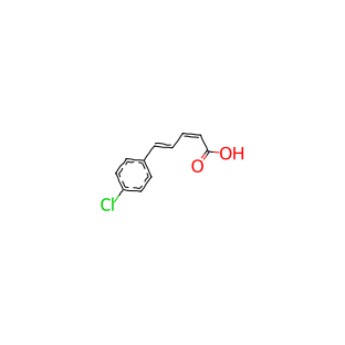 O=C(O)/C=C\C=C\c1ccc(Cl)cc1